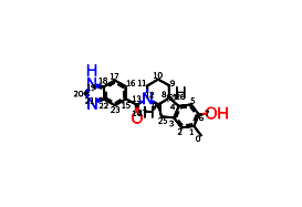 Cc1cc2c(cc1O)[C@@H]1CCCN(C(=O)c3ccc4[nH]cnc4c3)[C@@H]1C2